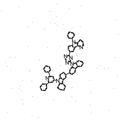 c1ccc(-c2cc(-n3c4ccccc4c4cc(-c5ccc6c7ccccc7n(-c7ncnc(-c8ccc9c(c8)c8ncccc8n9-c8ccccc8)n7)c6c5)ccc43)cc(-c3ccccc3)n2)cc1